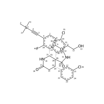 C[Si](C)(C)C#Cc1ccc(OCCO)c([C@H]2NC(=O)C[C@@H](c3cccc(Cl)c3)[C@]23C(=O)Nc2cc(Cl)ccc23)c1F